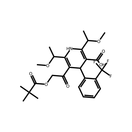 COC(C)C1=C(C(=O)O)C(c2ccccc2C(F)(F)F)C(C(=O)COC(=O)C(C)(C)C)=C(C(C)OC)N1